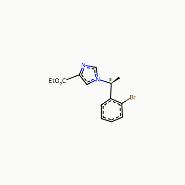 CCOC(=O)c1cn([C@@H](C)c2ccccc2Br)cn1